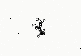 O=C(NS(=O)(=O)c1ccc(NCC2(F)CCOCC2)c([N+](=O)[O-])c1)c1ccc(N2CCN(CC3=C(c4ccc(Cl)cc4)CC4(CC3)COC4)CC2)cc1N1CCOc2nc3[nH]ccc3cc21